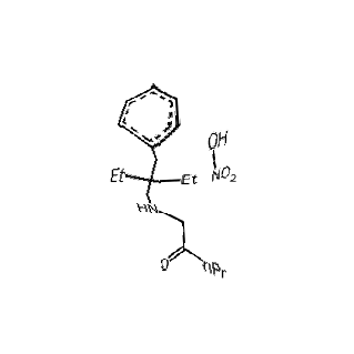 CCCC(=O)CNC(CC)(CC)c1ccccc1.O=[N+]([O-])O